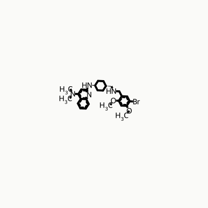 COc1cc(OC)c(CNC[C@H]2CC[C@@H](Nc3cc(N(C)C)c4ccccc4n3)CC2)cc1Br